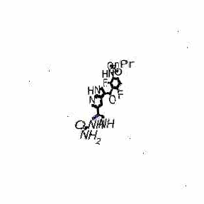 CCCS(=O)(=O)Nc1ccc(F)c(C(=O)c2c[nH]c3ncc(/C(C=N)=C/NC(N)=O)cc23)c1F